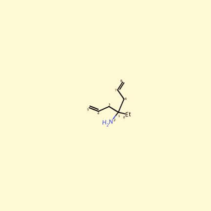 [CH2]CC(N)(CC=C)CC=C